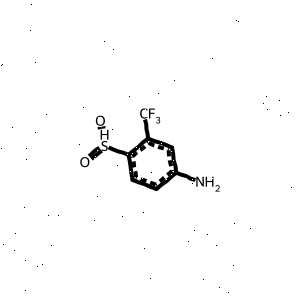 Nc1ccc([SH](=O)=O)c(C(F)(F)F)c1